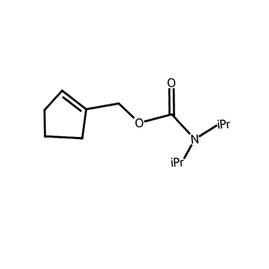 CC(C)N(C(=O)OCC1=CCCC1)C(C)C